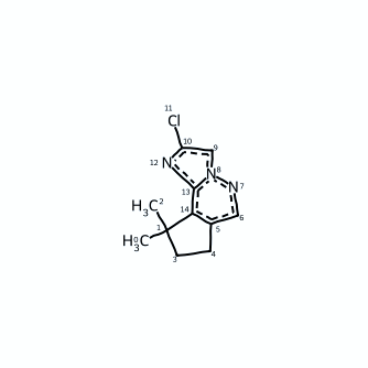 CC1(C)CCc2cnn3cc(Cl)nc3c21